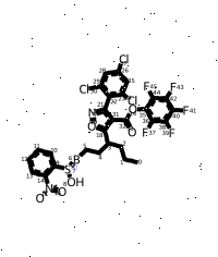 CCCC(CC/B=S(/O)c1ccccc1[N+](=O)[O-])c1onc(-c2c(Cl)cc(Cl)cc2Cl)c1C(=O)Oc1c(F)c(F)c(F)c(F)c1F